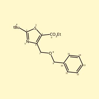 CCOC(=O)c1sc(C(C)(C)C)nc1COCc1ccccc1